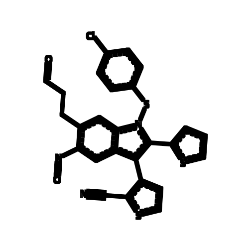 N#Cc1sccc1-c1c(-c2cccs2)n(Sc2ccc(Cl)cc2)c2cc(CCC=O)c(N=O)cc12